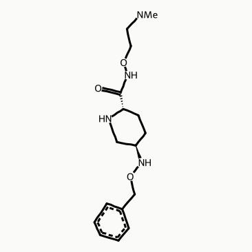 CNCCONC(=O)[C@@H]1CC[C@@H](NOCc2ccccc2)CN1